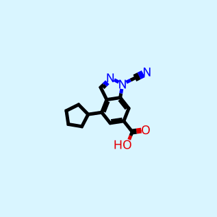 N#Cn1ncc2c(C3CCCC3)cc(C(=O)O)cc21